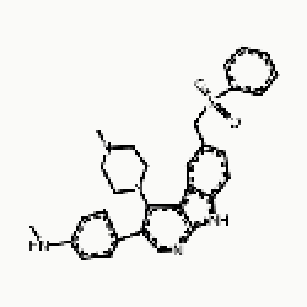 CNc1ccc(-c2cnc3[nH]c4ccc(CS(=O)(=O)c5ccccc5)cc4c3c2N2CCN(C)CC2)cc1